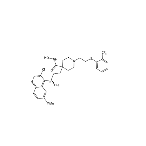 COc1ccc2ncc(Cl)c([C@H](O)CCC3(C(=O)NO)CCN(CCSc4ccccc4C(F)(F)F)CC3)c2c1